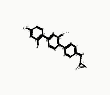 Fc1cc(Cl)ccc1-c1ccc(-c2ccc(CC3CO3)cc2)c(F)c1